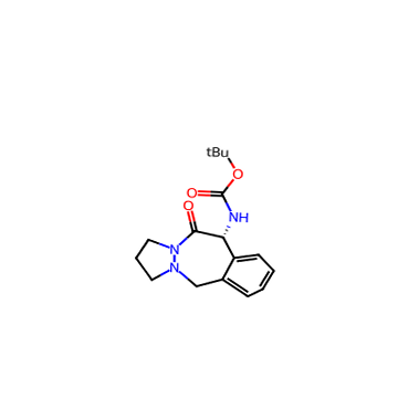 CC(C)(C)OC(=O)N[C@H]1C(=O)N2CCCN2Cc2ccccc21